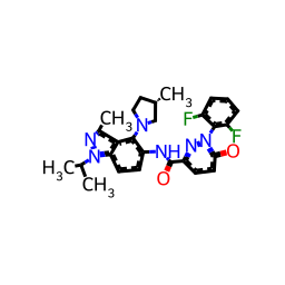 Cc1nn(C(C)C)c2ccc(NC(=O)c3ccc(=O)n(-c4c(F)cccc4F)n3)c(N3CC[C@H](C)C3)c12